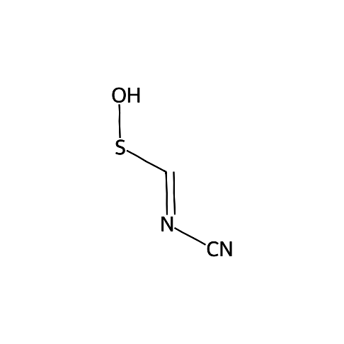 N#CN=CSO